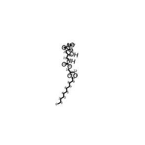 CCCCCCCCCCC1OCC(COC(=O)NCC(O)CS(=O)(=O)N=O)O1